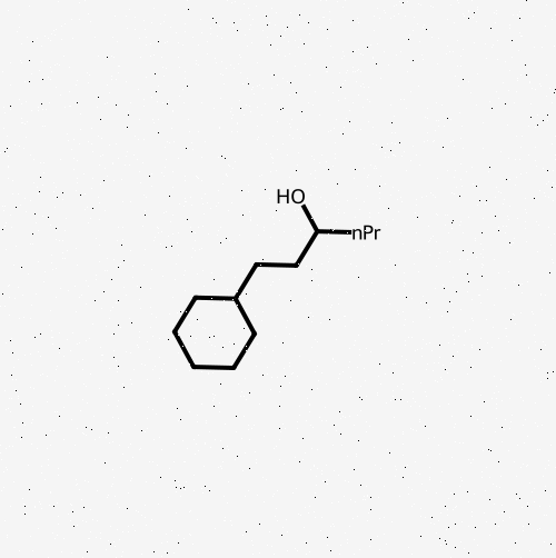 CCCC(O)CCC1CCCCC1